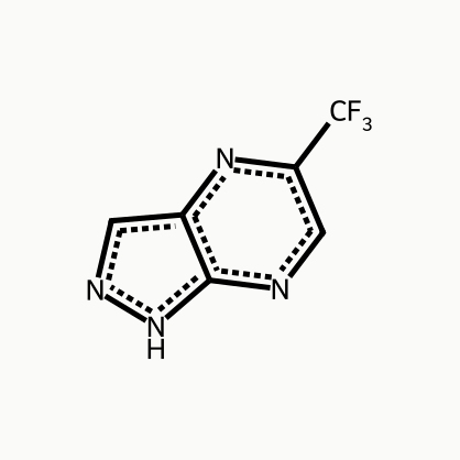 FC(F)(F)c1cnc2[nH]ncc2n1